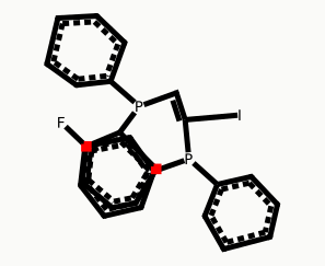 Fc1ccccc1P(/C=C(/I)P(c1ccccc1)c1ccccc1)c1ccccc1